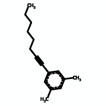 CCCCCCC#Cc1cc(C)cc(C)c1